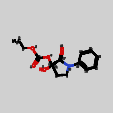 CCOC(=O)O[C@@]1(O)CCN(c2ccccc2)C1=O